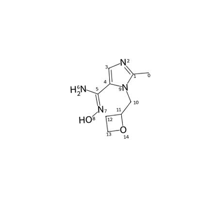 Cc1ncc(C(N)=NO)n1CC1CCO1